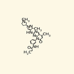 C=CC(=O)Nc1cccc(-n2c(=O)cc(C)c3cnc(Nc4cn([C@H]5CCN(C)C5)nc4C)nc32)c1